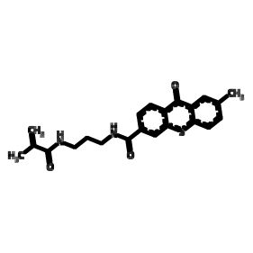 C=C(C)C(=O)NCCCNC(=O)c1ccc2c(=O)c3cc(C)ccc3sc2c1